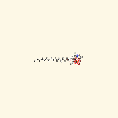 CCCCCCCCCCCCCCCCOC(C)C(O)C(C)OP1(=O)OC2CC[N+](C)(C)C2O1